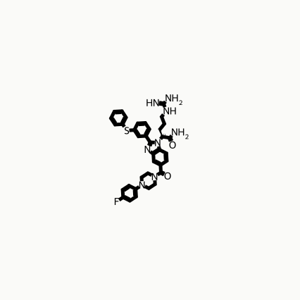 N=C(N)NCCC[C@@H](C(N)=O)n1c(-c2cccc(Sc3ccccc3)c2)nc2cc(C(=O)N3CCN(c4ccc(F)cc4)CC3)ccc21